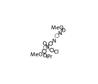 COC(=O)CN(C)[C@H]1CC[C@H](CN(C)c2ccc(N3C(=O)Cc4cc(OC)c(OC(C)C)cc4[C@@H]3c3ccc(Cl)cc3)cc2)CC1